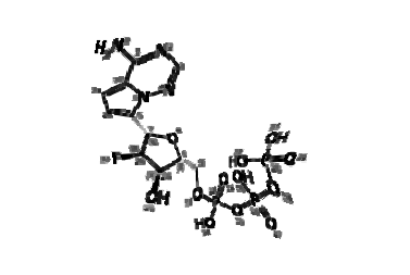 Nc1ncnn2c([C@@H]3O[C@H](COP(=O)(O)OP(=O)(O)OP(=O)(O)O)[C@@H](O)[C@H]3F)ccc12